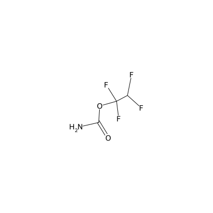 NC(=O)OC(F)(F)C(F)F